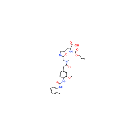 C=CCOC(=O)NC(Cc1cnc(CN(C)C(=O)Cc2ccc(NC(=O)Nc3ccccc3C)c(OC)c2)o1)C(=O)O